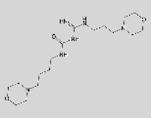 N=C(NCCCN1CCOCC1)NC(=O)NCCCCN1CCOCC1